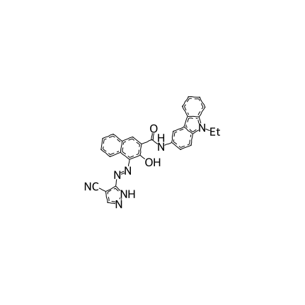 CCn1c2ccccc2c2cc(NC(=O)c3cc4ccccc4c(/N=N/c4[nH]ncc4C#N)c3O)ccc21